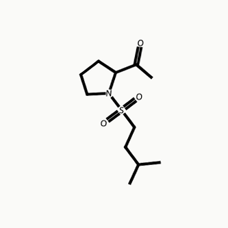 CC(=O)C1CCCN1S(=O)(=O)CCC(C)C